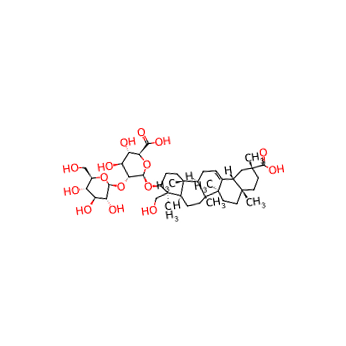 C[C@@]1(C(=O)O)CC[C@]2(C)CC[C@]3(C)C(=CC[C@@H]4[C@@]5(C)CC[C@H](O[C@@H]6O[C@H](C(=O)O)[C@@H](O)[C@H](O)[C@H]6O[C@@H]6O[C@H](CO)[C@@H](O)[C@H](O)[C@H]6O)[C@](C)(CO)[C@@H]5CC[C@]43C)[C@@H]2C1